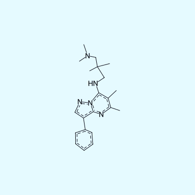 Cc1nc2c(-c3ccccc3)cnn2c(NCC(C)(C)CN(C)C)c1C